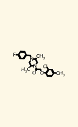 Cc1ccc(OCC(=O)N2CC(C)N(Cc3ccc(F)cc3)CC2C)c(Cl)c1